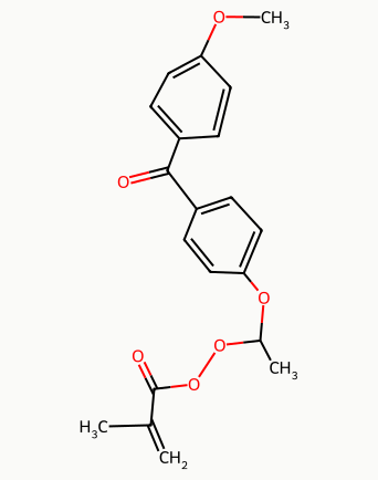 C=C(C)C(=O)OOC(C)Oc1ccc(C(=O)c2ccc(OC)cc2)cc1